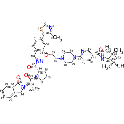 Cc1ncsc1-c1ccc(CNC(=O)[C@@H]2CCCN2C(=O)[C@H](C(C)C)N2Cc3ccccc3C2=O)c(OCCN2CCN(c3ccc(C(=O)NC4C(C)(C)CC4(C)C)cn3)CC2)c1